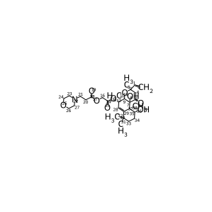 C=C[C@@]1(C)CC(=O)[C@@]2(O)[C@](C)(O1)[C@@H](OC(=O)COC(=O)CCN1CCOCC1)C=C1C(C)(C)CC[C@H](O)[C@@]12C